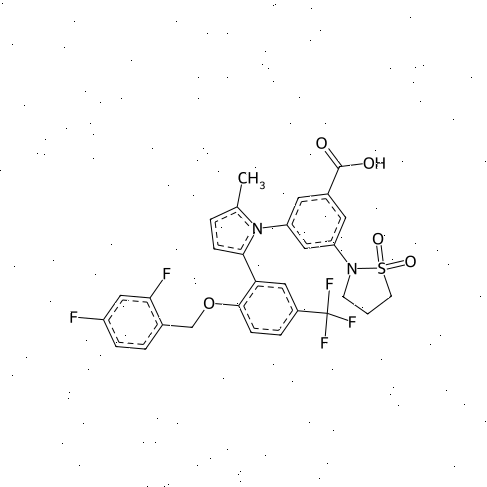 Cc1ccc(-c2cc(C(F)(F)F)ccc2OCc2ccc(F)cc2F)n1-c1cc(C(=O)O)cc(N2CCCS2(=O)=O)c1